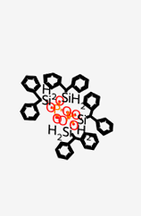 O=P(O[SiH2]C(c1ccccc1)c1ccccc1)(O[SiH2]C(c1ccccc1)c1ccccc1)OP(=O)(O[SiH2]C(c1ccccc1)c1ccccc1)O[SiH2]C(c1ccccc1)c1ccccc1